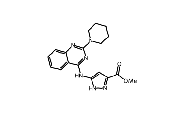 COC(=O)c1cc(Nc2nc(N3CCCCC3)nc3ccccc23)[nH]n1